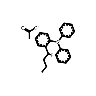 CC(=O)[O-].CCCC(F)c1ccccc1[S+](c1ccccc1)c1ccccc1